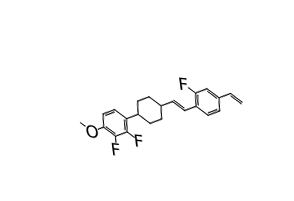 C=Cc1ccc(/C=C/C2CCC(c3ccc(OC)c(F)c3F)CC2)c(F)c1